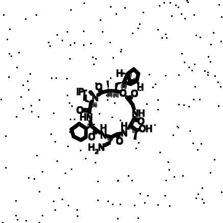 CC(C)C[C@H]1C(=O)N[C@@H](C2CCCCC2)C(=O)N[C@@H](CN)C(=O)N[C@@H]([C@H](C)O)C(=O)NCC(=O)O[C@H](C[C@H]2C[C@@H]3CC[C@H]2C3)[C@@H](C)C(=O)N1C